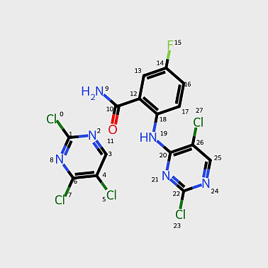 Clc1ncc(Cl)c(Cl)n1.NC(=O)c1cc(F)ccc1Nc1nc(Cl)ncc1Cl